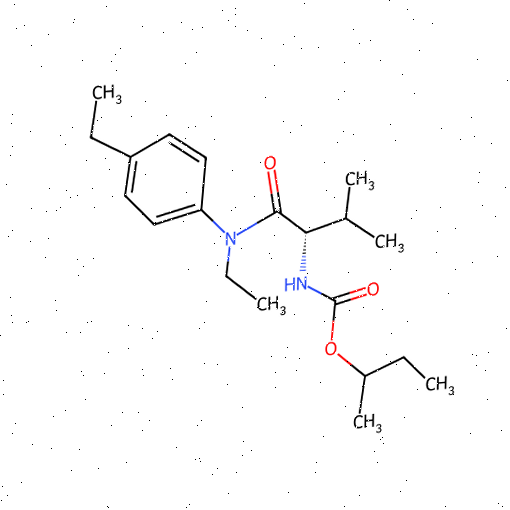 CCc1ccc(N(CC)C(=O)[C@@H](NC(=O)OC(C)CC)C(C)C)cc1